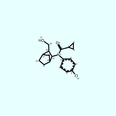 O=C(C1CC1)N(c1ccc(Cl)cc1)C1C2CCC(C2)C1CO